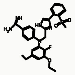 CCOc1cc(CC)cc(N(Cc2nc(-c3ccccc3S(C)(=O)=O)c[nH]2)c2ccc(C(=N)N)cc2)c1F